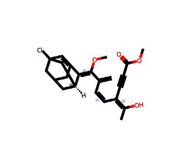 C=C(/C=C\C(C#CC(=O)OC)=C(/C)O)/C(OC)=C1/C2=CC3(Cl)CC(C2)C[C@H]1C3